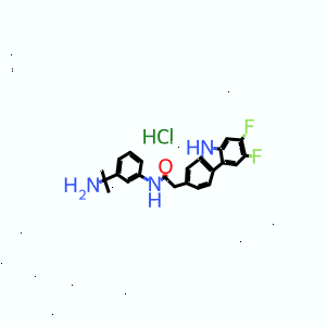 CC(C)(N)c1cccc(NC(=O)Cc2ccc3c(c2)[nH]c2cc(F)c(F)cc23)c1.Cl